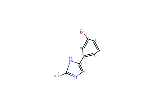 CCCCc1ncc(-c2cccc(Br)c2)[nH]1